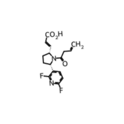 C=CCC(=O)N1[C@@H](C=CC(=O)O)CC[C@H]1c1ccc(F)nc1F